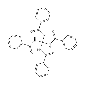 O=C(NC(NC(=O)c1ccccc1)(NC(=O)c1ccccc1)NC(=O)c1ccccc1)c1ccccc1